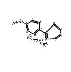 COc1ccc(-c2ccccc2)cc1.OBO